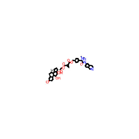 CN(C)C(C(=O)Nc1ccc2cnccc2c1)c1ccc(COC(=O)C2CC2C(=O)OCC(=O)[C@H]2CCC3[C@@H]4CCC5=CC(=O)C=C[C@]5(C)C4[C@@H](O)C[C@@]32O)cc1